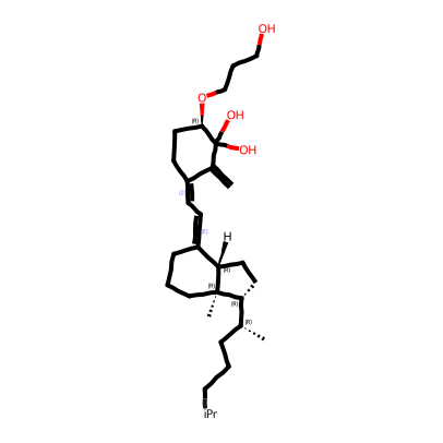 C=C1/C(=C\C=C2/CCC[C@]3(C)[C@@H]([C@H](C)CCCC(C)C)CC[C@@H]23)CC[C@@H](OCCCO)C1(O)O